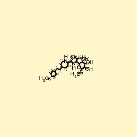 COc1ccc(CCC2CCNC(C(=O)NC(C(C)Cl)C3OC(SC)C(O)C(O)C3O)CC2)cc1